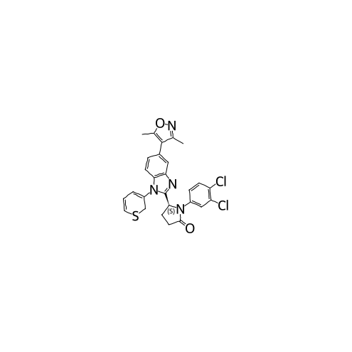 Cc1noc(C)c1-c1ccc2c(c1)nc([C@@H]1CCC(=O)N1c1ccc(Cl)c(Cl)c1)n2C1=CC=CSC1